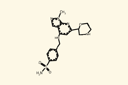 Cn1ncc2c(NCc3ccc(S(N)(=O)=O)cc3)cc(C3CNCCO3)nc21